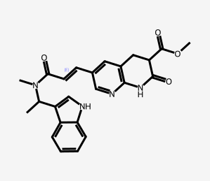 COC(=O)C1Cc2cc(/C=C/C(=O)N(C)C(C)c3c[nH]c4ccccc34)cnc2NC1=O